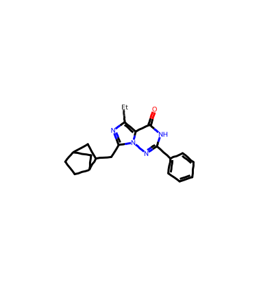 CCc1nc(CC2CC3CCC2C3)n2nc(-c3ccccc3)[nH]c(=O)c12